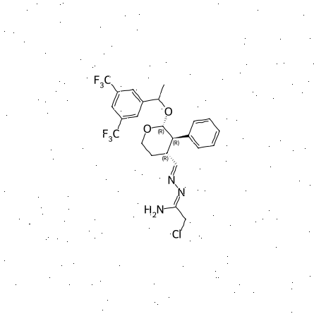 CC(O[C@H]1OCC[C@@H](C=NN=C(N)CCl)[C@@H]1c1ccccc1)c1cc(C(F)(F)F)cc(C(F)(F)F)c1